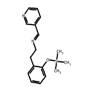 C[Si](C)(C)Oc1ccccc1CCN=Cc1cccnc1